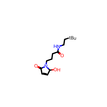 CC(C)(C)CCNC(=O)CCCN1C(=O)C=CC1O